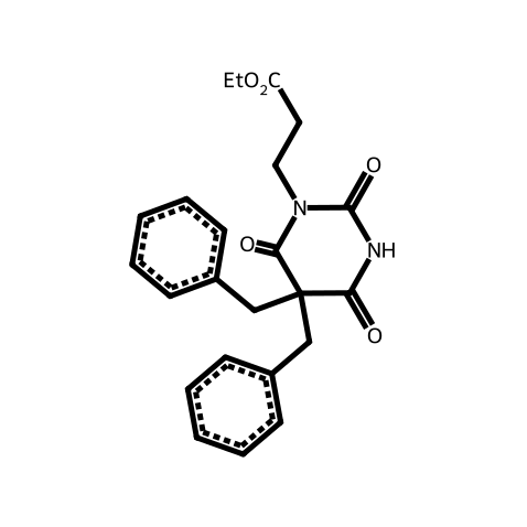 CCOC(=O)CCN1C(=O)NC(=O)C(Cc2ccccc2)(Cc2ccccc2)C1=O